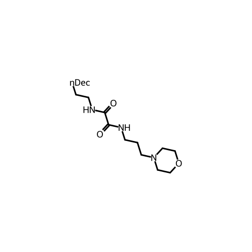 CCCCCCCCCCCCNC(=O)C(=O)NCCCN1CCOCC1